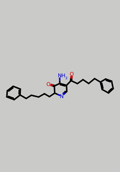 NC1=C(C(=O)CCCCc2ccccc2)C=NC(CCCCCc2ccccc2)C1=O